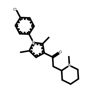 Cc1cc(C(=O)CC2CCCCN2C)c(C)n1-c1ccc(Cl)cc1